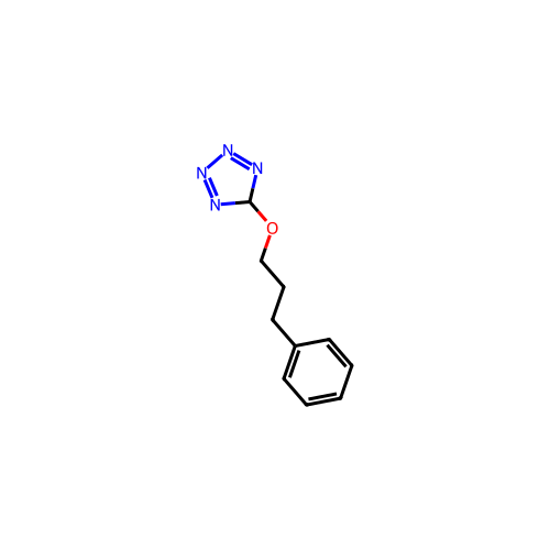 c1ccc(CCCOC2N=NN=N2)cc1